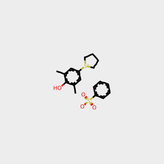 Cc1cc([S+]2CCCC2)cc(C)c1O.O=S(=O)([O-])c1ccccc1